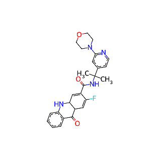 CC(C)(NC(=O)C1=CC2Nc3ccccc3C(=O)C2C=C1F)c1ccnc(N2CCOCC2)c1